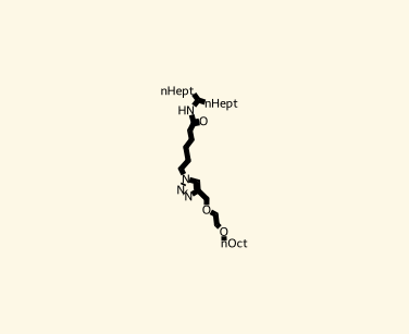 CCCCCCCCOCCOCc1cn(CCCCCC(=O)NC(CCCCCCC)CCCCCCC)nn1